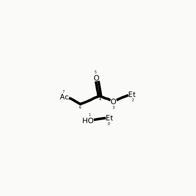 CCO.CCOC(=O)CC(C)=O